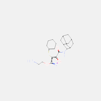 NCCOc1noc(C(=O)NC2C3CC4CC(C3)CC2C4)c1SC1CCCCC1